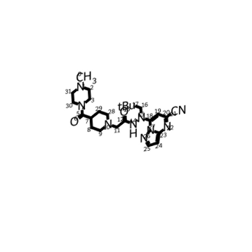 CN1CCN(C(=O)C2CCN(CC(=O)NN(CC(C)(C)C)c3cc(C#N)nc4ccnn34)CC2)CC1